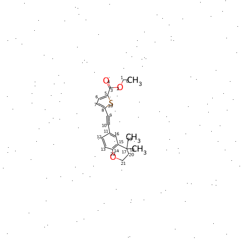 CCOC(=O)c1ccc(C#Cc2ccc3c(c2)C(C)(C)CCO3)s1